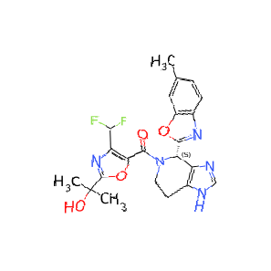 Cc1ccc2nc([C@@H]3c4nc[nH]c4CCN3C(=O)c3oc(C(C)(C)O)nc3C(F)F)oc2c1